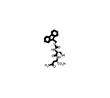 NC(=O)C[C@H](NC(=O)[C@H](CS)NC(=O)OCC1c2ccccc2-c2ccccc21)C(=O)O